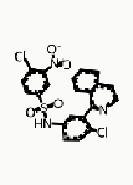 O=[N+]([O-])c1cc(S(=O)(=O)Nc2ccc(Cl)c(-c3nccc4ccccc34)c2)ccc1Cl